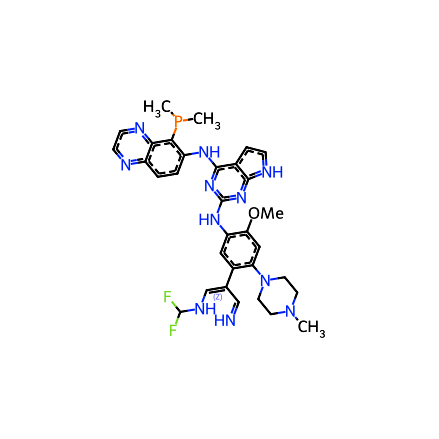 COc1cc(N2CCN(C)CC2)c(/C(C=N)=C/NC(F)F)cc1Nc1nc(Nc2ccc3nccnc3c2P(C)C)c2cc[nH]c2n1